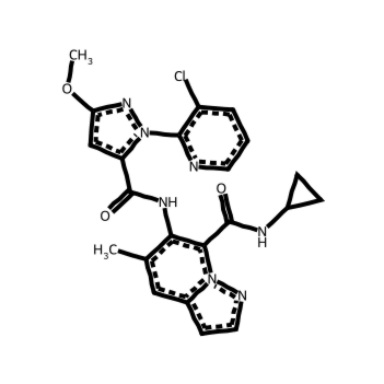 COc1cc(C(=O)Nc2c(C)cc3ccnn3c2C(=O)NC2CC2)n(-c2ncccc2Cl)n1